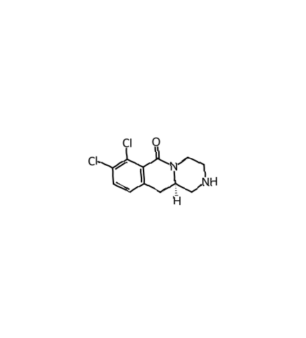 O=C1c2c(ccc(Cl)c2Cl)C[C@@H]2CNCCN12